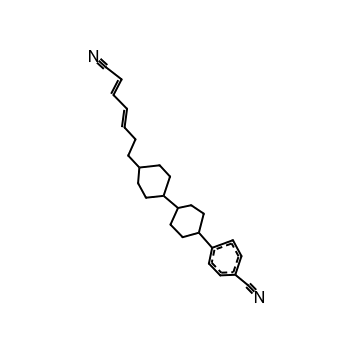 N#CC=CC=CCCC1CCC(C2CCC(c3ccc(C#N)cc3)CC2)CC1